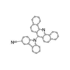 N#Cc1ccc2c(c1)c1ccccc1n2-c1c2ccc3ccccc3c2nc2c1ccc1ccccc12